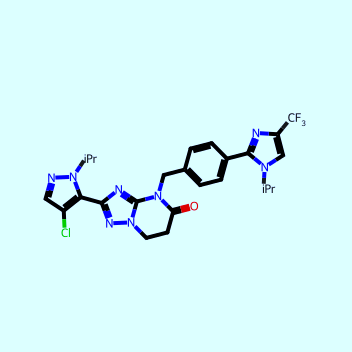 CC(C)n1cc(C(F)(F)F)nc1-c1ccc(CN2C(=O)CCn3nc(-c4c(Cl)cnn4C(C)C)nc32)cc1